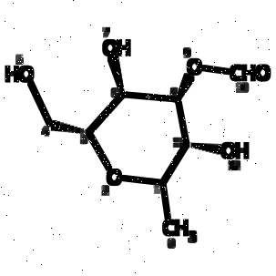 CC1O[C@H](CO)[C@@H](O)[C@@H](OC=O)[C@@H]1O